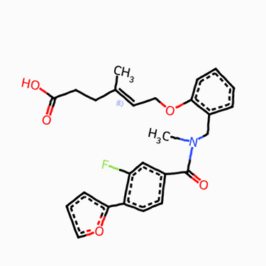 C/C(=C\COc1ccccc1CN(C)C(=O)c1ccc(-c2ccco2)c(F)c1)CCC(=O)O